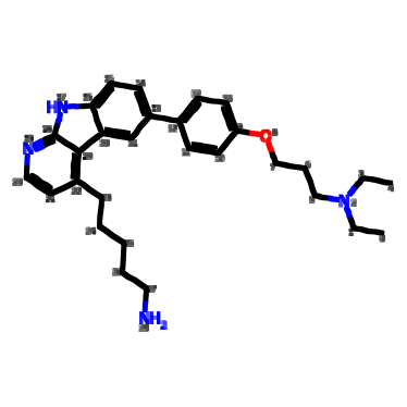 CCN(CC)CCCOc1ccc(-c2ccc3[nH]c4nccc(CCCCCN)c4c3c2)cc1